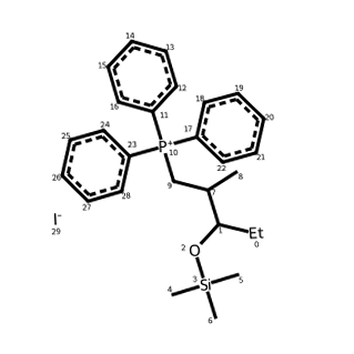 CCC(O[Si](C)(C)C)C(C)C[P+](c1ccccc1)(c1ccccc1)c1ccccc1.[I-]